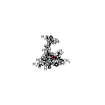 CC(C)C[C@H](N)C(=O)N[C@@H](CCC(N)=O)C(=O)N[C@H](C(=O)N[C@@H](Cc1ccc(O)cc1)C(=O)N1CCC[C@H]1C(=O)N[C@@H](CCC(N)=O)C(=O)N[C@H](C(=O)N[C@@H](CC(N)=O)C(=O)N[C@H](C(=O)NCC(=O)N[C@@H](CO)C(=O)NCC(=O)N[C@H](C(=O)N1CCC[C@H]1C(N)=O)[C@@H](C)O)[C@@H](C)O)[C@@H](C)O)[C@@H](C)O